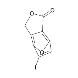 O=C1OCc2c1c1cc(I)c2o1